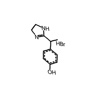 Br.CC(C1=NCCN1)c1ccc(O)cc1